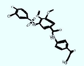 COc1cc(C(=O)Nc2ccc(C(=O)O)cc2)cc(NS(=O)(=O)c2ccc(Cl)c(Cl)c2)c1OC